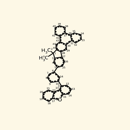 CC1(C)c2cc(-c3cccc(-c4cccc5oc6ccccc6c45)c3)ccc2-c2cc3c4ccccc4c4ccccc4c3cc21